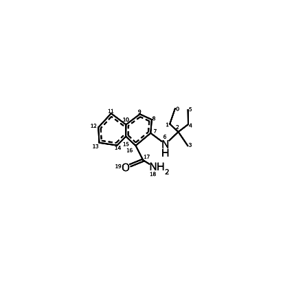 CCC(C)(CC)Nc1ccc2ccccc2c1C(N)=O